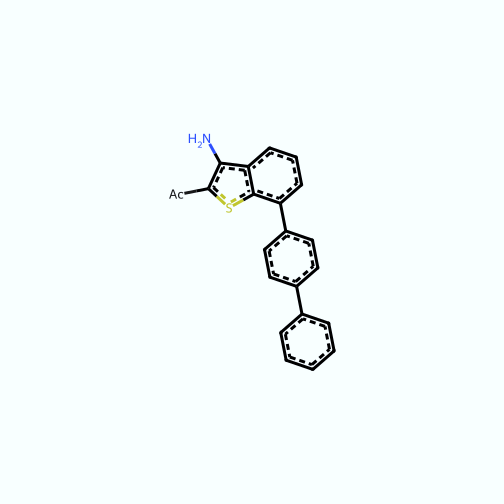 CC(=O)c1sc2c(-c3ccc(-c4ccccc4)cc3)cccc2c1N